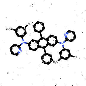 Cc1cc(C)cc(N(c2ccc3c(-c4ccccc4)c4cc(N(c5cc(C)cc(C)c5)c5ccccn5)ccc4c(-c4ccccc4)c3c2)c2ccccn2)c1